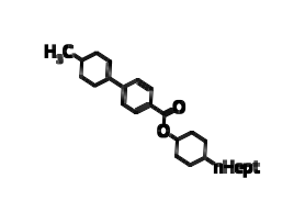 CCCCCCCC1CCC(OC(=O)c2ccc(C3=CCC(C)CC3)cc2)CC1